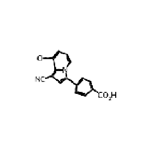 N#Cc1cc(-c2ccc(C(=O)O)cc2)n2cccc(Cl)c12